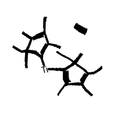 C=C.CC1=C(C)C(C)(C)[C]([Ti][C]2=C(C)C(C)=C(C)C2(C)C)=C1C